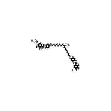 CCOc1ccc(C(F)(F)Oc2ccc(OCCCCCCCCC(C)CCCCCCCCOc3ccc(OC(F)(F)c4ccc(O)c(F)c4F)cc3)cc2)c(F)c1F